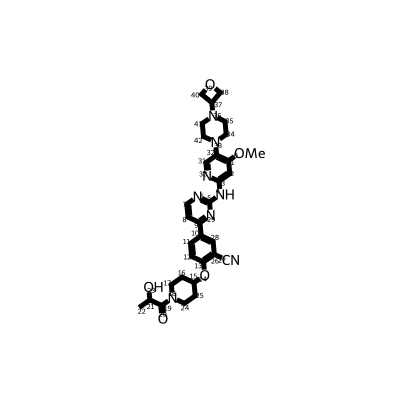 COc1cc(Nc2nccc(-c3ccc(OC4CCN(C(=O)C(C)O)CC4)c(C#N)c3)n2)ncc1N1CCN(C2COC2)CC1